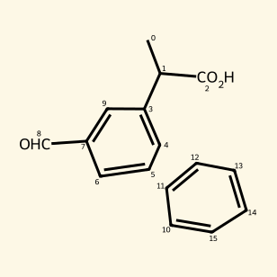 CC(C(=O)O)c1cccc(C=O)c1.c1ccccc1